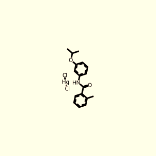 Cc1ccccc1C(=O)Nc1cccc(OC(C)C)c1.[Cl][Hg][Cl]